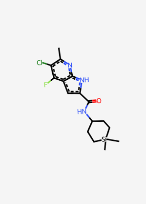 Cc1nc2[nH]c(C(=O)NC3CC[Si](C)(C)CC3)cc2c(F)c1Cl